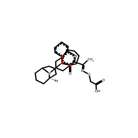 C/C(=N\OCC(=O)O)c1nc2ccccc2n(C2CC3CCC[C@H](C2)N3C2CC3CCCCC(C3)C2)c1=O